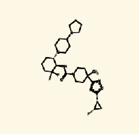 CC1(c2noc([C@@H]3C[C@@H]3F)n2)CCN(C(=O)N[C@@H]2[C@@H](N3CCC(N4CCCC4)CC3)CCCC2(F)F)CC1